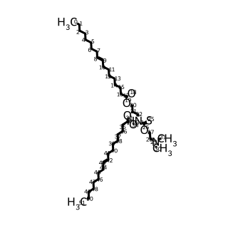 CCCCCCCCC=CCCCCCCCC(=O)OCC(CNC(=S)OCCN(C)C)OC(=O)CCCCCCCC=CCCCCCCCC